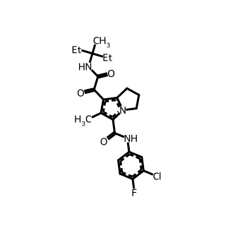 CCC(C)(CC)NC(=O)C(=O)c1c(C)c(C(=O)Nc2ccc(F)c(Cl)c2)n2c1CCC2